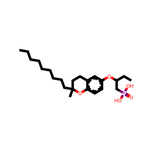 CCCCCCCCCC1(C)CCc2cc(OC(CC)CP(=O)(O)O)ccc2O1